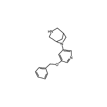 c1ccc(COc2cncc(N3CC4CNCC3C4)c2)cc1